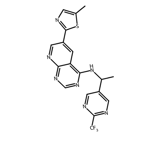 Cc1cnc(-c2cnc3ncnc(NC(C)c4cnc(C(F)(F)F)nc4)c3c2)s1